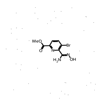 COC(=O)c1ccc(Br)c(C(N)=NO)n1